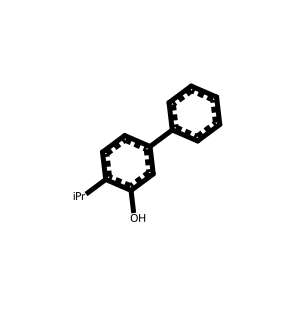 CC(C)c1ccc(-c2ccccc2)cc1O